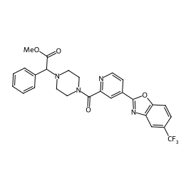 COC(=O)C(c1ccccc1)N1CCN(C(=O)c2cc(-c3nc4cc(C(F)(F)F)ccc4o3)ccn2)CC1